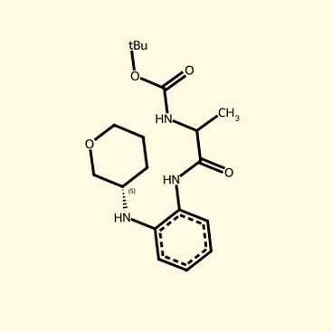 CC(NC(=O)OC(C)(C)C)C(=O)Nc1ccccc1N[C@H]1CCCOC1